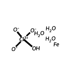 O.O.O.[Fe].[O-][Cl+3]([O-])([O-])O